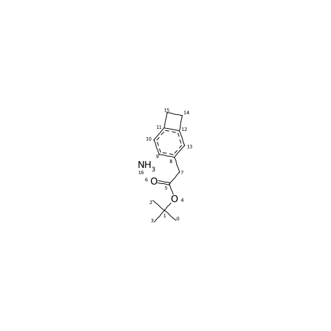 CC(C)(C)OC(=O)Cc1ccc2c(c1)CC2.N